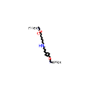 CCCCCC/C=C\COCc1ccc(CCCCNCCCCCCCC(=O)OC/C=C\CCCCCC)cc1